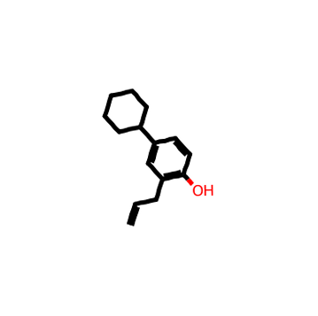 C=CCc1cc(C2CCCCC2)ccc1O